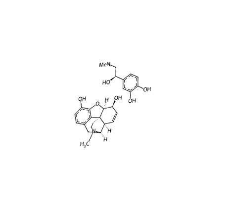 CN1CC[C@]23c4c5ccc(O)c4O[C@H]2[C@@H](O)C=C[C@H]3[C@H]1C5.CNC[C@H](O)c1ccc(O)c(O)c1